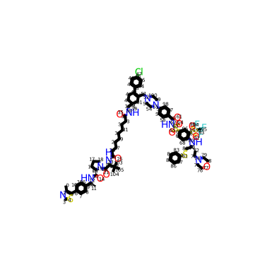 Cc1ncsc1-c1ccc([C@H](C)NC(=O)[C@@H]2CCCN2C(=O)[C@@H](NC(=O)CCCCCCCCC(=O)NC[C@@]2(C)CCC(c3ccc(Cl)cc3)=C(CN3CCN(c4ccc(C(=O)NS(=O)(=O)c5ccc(N[C@H](CCN6CCOCC6)CSc6ccccc6)c(S(=O)(=O)C(F)(F)F)c5)cc4)CC3)C2)C(C)(C)C)cc1